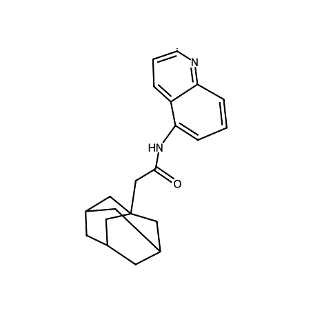 O=C(CC12CC3CC(CC(C3)C1)C2)Nc1cccc2n[c]ccc12